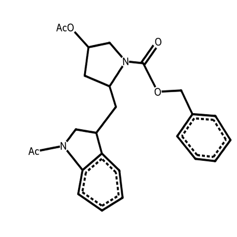 CC(=O)OC1CC(CC2CN(C(C)=O)c3ccccc32)N(C(=O)OCc2ccccc2)C1